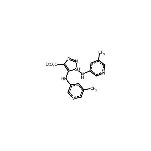 CCOC(=O)C1=C(Nc2cncc(C(F)(F)F)c2)[SH](Nc2cncc(C(F)(F)F)c2)N=N1